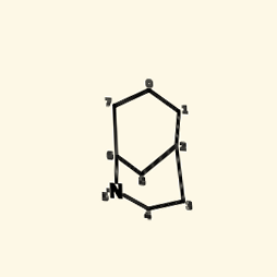 C1CC2CC[N]C(C1)C2